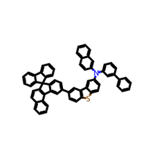 c1ccc(-c2cccc(N(c3ccc4ccccc4c3)c3ccc4sc5ccc(-c6ccc7c(c6)-c6c(ccc8ccccc68)C76c7ccccc7-c7ccccc76)cc5c4c3)c2)cc1